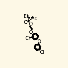 CCN(C(C)=O)C(=O)OCCOc1ccc(Oc2cccc(Cl)c2)cc1Cl